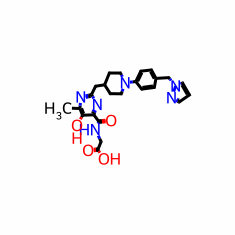 Cc1nc(CC2CCN(c3ccc(Cn4cccn4)cc3)CC2)nc(C(=O)NCC(=O)O)c1O